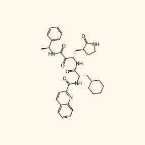 C[C@H](NC(=O)C(=O)[C@H](C[C@@H]1CCNC1=O)NC(=O)[C@H](CC1CCCCC1)NC(=O)c1ccc2ccccc2n1)c1ccccc1